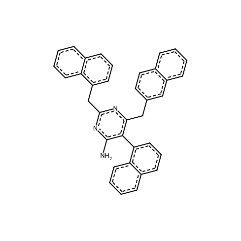 Nc1nc(Cc2cccc3ccccc23)nc(Cc2ccc3ccccc3c2)c1-c1cccc2ccccc12